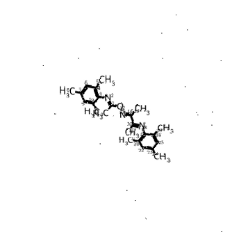 C/C(=N\c1c(C)cc(C)cc1C)O/N=C(C)/C(C)=N/c1c(C)cc(C)cc1C